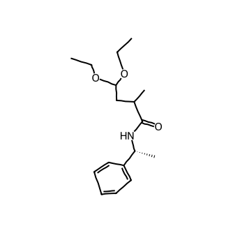 CCOC(CC(C)C(=O)N[C@H](C)c1ccccc1)OCC